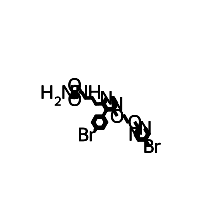 NS(=O)(=O)NCCCc1ncnc(OCCOc2ncc(Br)cn2)c1-c1ccc(Br)cc1